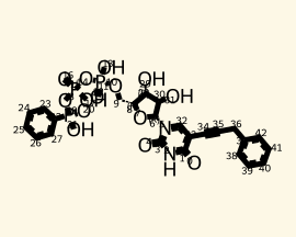 O=c1[nH]c(=O)n([C@@H]2O[C@H](COP(=O)(O)OP(=O)(O)OP(=O)(O)c3ccccc3)[C@H](O)C2O)cc1C#CCc1ccccc1